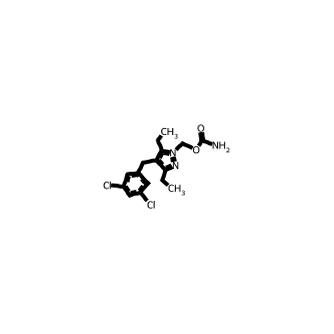 CCc1nn(COC(N)=O)c(CC)c1Cc1cc(Cl)cc(Cl)c1